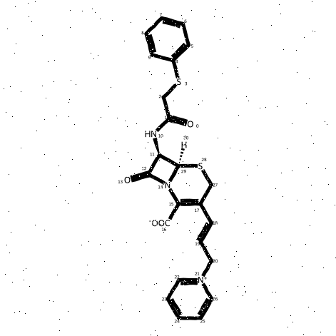 O=C(CSc1ccccc1)N[C@@H]1C(=O)N2C(C(=O)[O-])=C(C=CC[n+]3ccccc3)CS[C@H]12